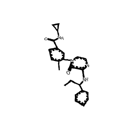 CCC(Nc1nccn(-c2cc(C(=O)NC3CC3)ccc2C)c1=O)c1ccccc1